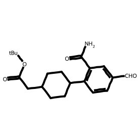 CC(C)(C)OC(=O)CC1CCC(c2ccc(C=O)cc2C(N)=O)CC1